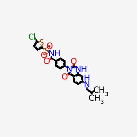 CC(C)CNc1ccc2c(=O)n(-c3ccc(C(=O)NS(=O)(=O)c4ccc(Cl)s4)cc3)c(=O)[nH]c2c1